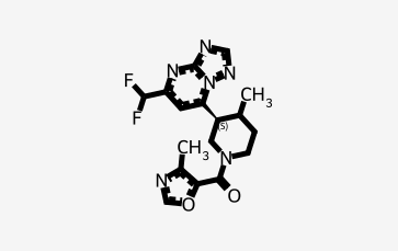 Cc1ncoc1C(=O)N1CCC(C)[C@H](c2cc(C(F)F)nc3ncnn23)C1